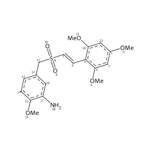 COc1cc(OC)c(/C=C/S(=O)(=O)Cc2ccc(OC)c(N)c2)c(OC)c1